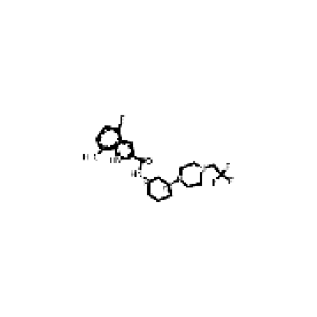 Cc1ccc(F)c2cc(C(=O)N[C@@H]3CCC[C@H](N4CCN(CC(F)(F)F)CC4)C3)[nH]c12